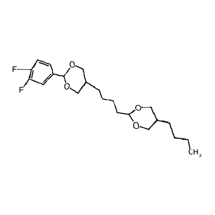 CCCCC1COC(CCCCC2COC(c3ccc(F)c(F)c3)OC2)OC1